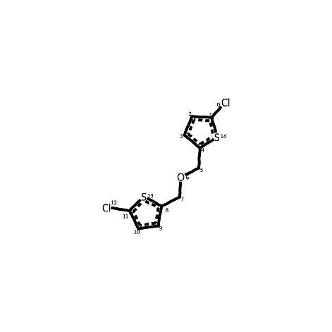 Clc1ccc(COCc2ccc(Cl)s2)s1